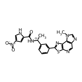 C[C@H](NC(=O)c1cc([N+](=O)[O-])c[nH]1)c1cccc(-c2nc3c(ncc4ncn(C)c43)s2)c1